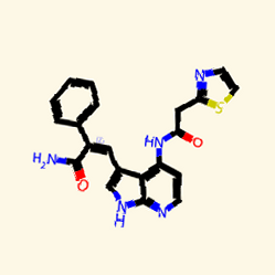 NC(=O)/C(=C\c1c[nH]c2nccc(NC(=O)Cc3nccs3)c12)c1ccccc1